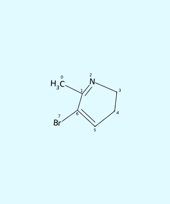 CC1=NCCC=C1Br